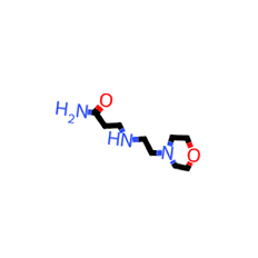 NC(=O)CCNCCN1CCOCC1